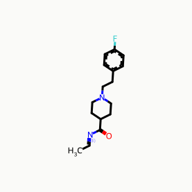 C/C=N/C(=O)C1CCN(CCc2ccc(F)cc2)CC1